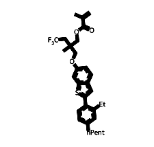 C=C(C)C(=O)OCC(C)(COc1ccc2cc(-c3ccc(CCCCC)cc3CC)sc2c1)CC(F)(F)F